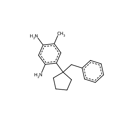 Cc1cc(C2(Cc3ccccc3)CCCC2)c(N)cc1N